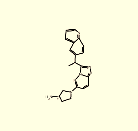 CC(c1ccc2ncccc2c1)c1nnc2ccc(N3CC[C@@H](N)C3)nn12